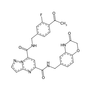 CC(=O)c1ccc(CNC(=O)c2cc(C(=O)NCc3ccc4c(c3)NC(=O)CO4)nc3ccnn23)cc1F